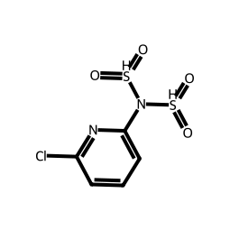 O=[SH](=O)N(c1cccc(Cl)n1)[SH](=O)=O